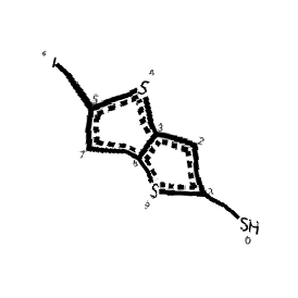 Sc1cc2sc(I)cc2s1